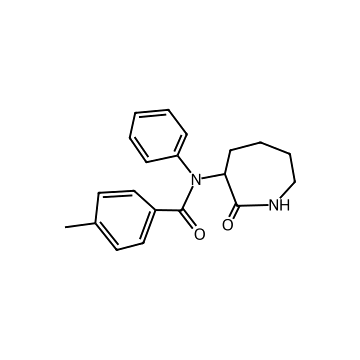 Cc1ccc(C(=O)N(c2ccccc2)C2CCCCNC2=O)cc1